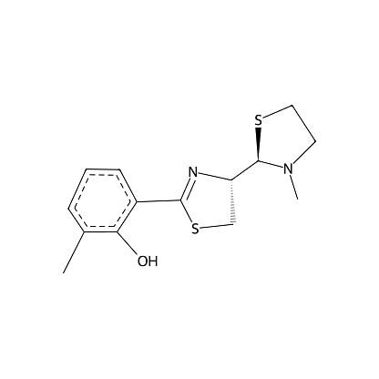 Cc1cccc(C2=N[C@H]([C@H]3SCCN3C)CS2)c1O